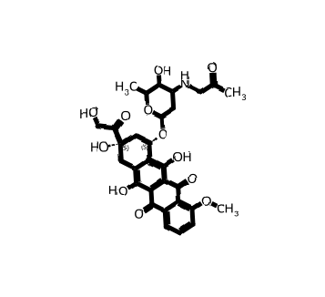 COc1cccc2c1C(=O)c1c(O)c3c(c(O)c1C2=O)C[C@@](O)(C(=O)CO)C[C@@H]3OC1CC(NCC(C)=O)C(O)C(C)O1